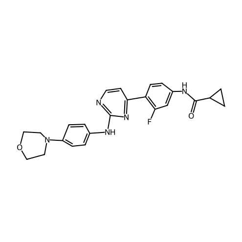 O=C(Nc1ccc(-c2ccnc(Nc3ccc(N4CCOCC4)cc3)n2)c(F)c1)C1CC1